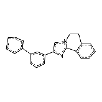 c1ccc(-c2cccc(-c3cn4c(n3)-c3ccccc3CC4)c2)cc1